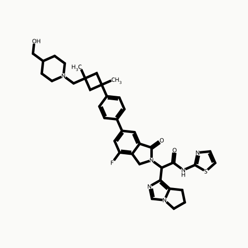 CC1(CN2CCC(CO)CC2)CC(C)(c2ccc(-c3cc(F)c4c(c3)C(=O)N(C(C(=O)Nc3nccs3)c3ncn5c3CCC5)C4)cc2)C1